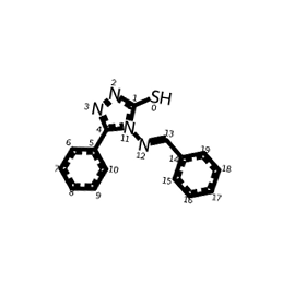 Sc1nnc(-c2ccccc2)n1N=Cc1ccccc1